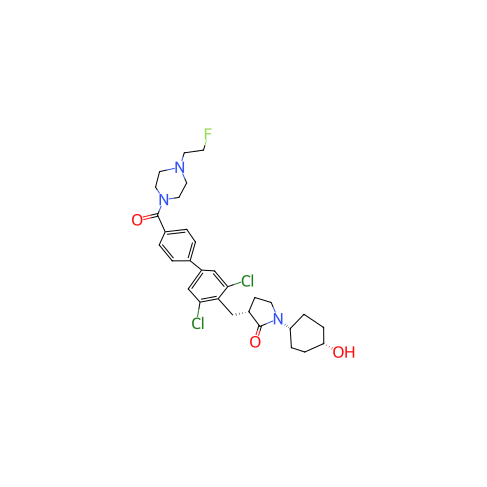 O=C(c1ccc(-c2cc(Cl)c(C[C@@H]3CCN([C@H]4CC[C@@H](O)CC4)C3=O)c(Cl)c2)cc1)N1CCN(CCF)CC1